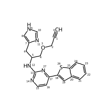 C#CCOCC(Cc1c[nH]cn1)Nc1nccc(-c2cc3ccccc3s2)n1